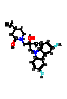 CC1CCN(CC(C)(O)Cn2c3ccc(F)cc3c3cc(F)ccc32)C(=O)C1